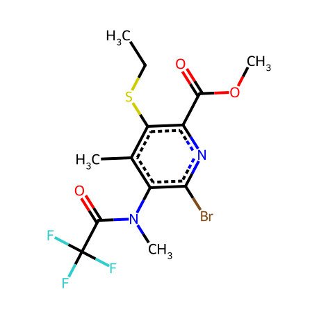 CCSc1c(C(=O)OC)nc(Br)c(N(C)C(=O)C(F)(F)F)c1C